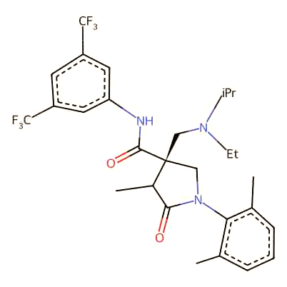 CCN(C[C@@]1(C(=O)Nc2cc(C(F)(F)F)cc(C(F)(F)F)c2)CN(c2c(C)cccc2C)C(=O)C1C)C(C)C